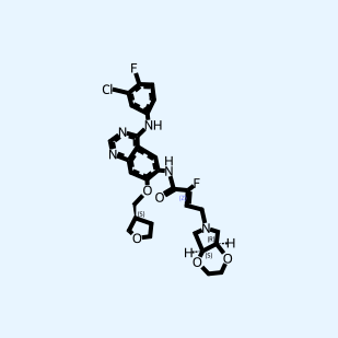 O=C(Nc1cc2c(Nc3ccc(F)c(Cl)c3)ncnc2cc1OC[C@H]1CCOC1)/C(F)=C/CN1C[C@@H]2OCCO[C@@H]2C1